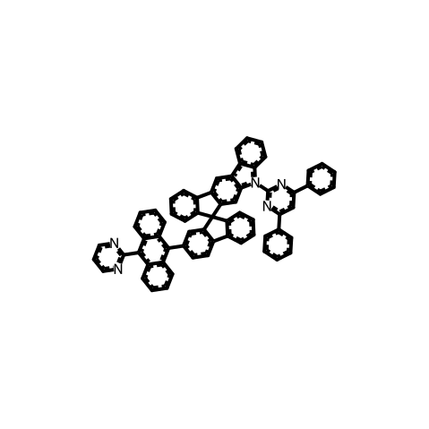 c1ccc(-c2cc(-c3ccccc3)nc(-n3c4ccccc4c4cc5c(cc43)C3(c4ccccc4-c4ccc(-c6c7ccccc7c(-c7ncccn7)c7ccccc67)cc43)c3ccccc3-5)n2)cc1